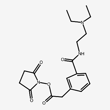 CCN(CC)CCNC(=O)c1cccc(CC(=O)ON2C(=O)CCC2=O)c1